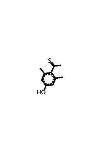 CC(=S)c1c(C)cc(O)cc1C